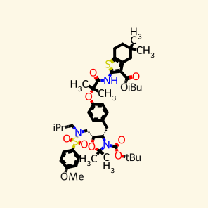 COc1ccc(S(=O)(=O)N(CC(C)C)C[C@H]2OC(C)(C)N(C(=O)OC(C)(C)C)[C@H]2Cc2ccc(OC(C)(C)C(=O)Nc3sc4c(c3C(=O)OCC(C)C)CC(C)(C)CC4)cc2)cc1